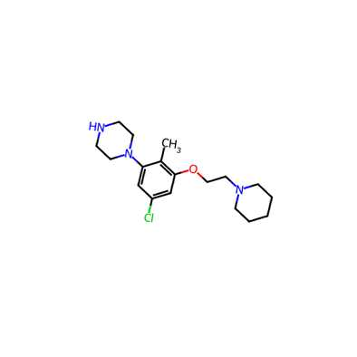 Cc1c(OCCN2CCCCC2)cc(Cl)cc1N1CCNCC1